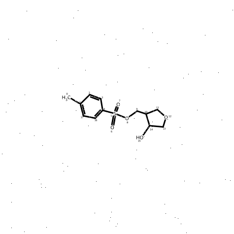 Cc1ccc(S(=O)(=O)OCC2COCC2O)cc1